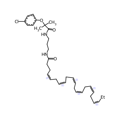 CC/C=C\C/C=C\C/C=C\C/C=C\C/C=C\C/C=C\CCC(=O)NCCCNC(=O)C(C)(C)Oc1ccc(Cl)cc1